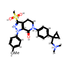 COc1ccc(-n2nc(S(C)(=O)=O)c3c2C(=O)N(c2ccc(C4(CN(C)C)CC4)cc2)CC3)cc1